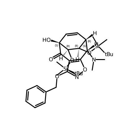 CN(C)[C@@H]1c2onc(OCc3ccccc3)c2C(=O)[C@]2(O)C=C[C@H]1[C@@H](O[Si](C)(C)C(C)(C)C)[C@H]2O[Si](C)(C)C(C)(C)C